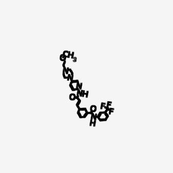 COCCN1CCN(c2ccc(NC(=O)C=Cc3cccc(C(=O)Nc4cccc(C(F)(F)F)c4)c3)nc2)CC1